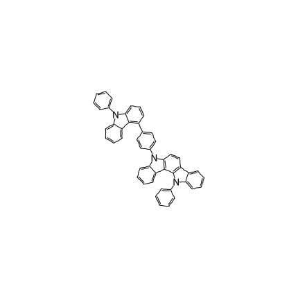 c1ccc(-n2c3ccccc3c3c(-c4ccc(-n5c6ccccc6c6c5ccc5c7ccccc7n(-c7ccccc7)c56)cc4)cccc32)cc1